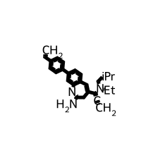 C=C=C(C1=Cc2ccc(-c3ccc(C=C)cc3)cc2N=C(N)C1)N(CC)CC(C)C